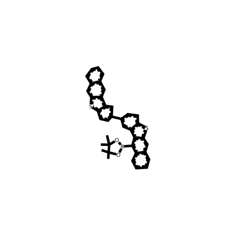 CC1(C)OB(c2c3ccccc3cc3sc4ccc(-c5ccc6sc7cc8ccccc8cc7c6c5)cc4c23)OC1(C)C